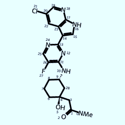 CNC(=O)C[C@]1(O)CCC[C@H](Nc2nc(-c3c[nH]c4ncc(Cl)cc34)ncc2F)C1